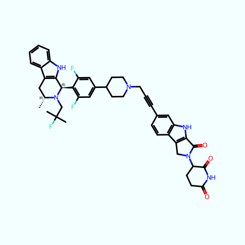 C[C@@H]1Cc2c([nH]c3ccccc23)[C@@H](c2c(F)cc(C3CCN(CC#Cc4ccc5c6c([nH]c5c4)C(=O)N(C4CCC(=O)NC4=O)C6)CC3)cc2F)N1CC(C)(C)F